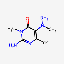 CCCc1nc(N)n(C)c(=O)c1N(C)N